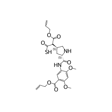 C=CCOC(=O)c1cc(NC(=O)[C@@H]2C[C@@H](C(C(=O)S)C(=O)OCC=C)CN2)c(OC)cc1OC